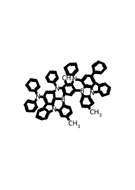 Cc1ccc2c(c1)-n1c3ccccc3c3c(-c4ccccc4)cc4c(c31)B2c1cc2c(c(C)c1N4c1ccccc1)N(c1ccccc1)c1cc(N(c3ccccc3)c3ccccc3)c3c4ccccc4n4c3c1B2c1ccc(C)cc1-4